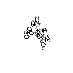 CC(C)C[C@H](NC(=O)c1cc2cc(F)ccc2[nH]1)C(=O)NC(C[C@@H]1CCNC1=O)C(=O)COP(=O)(c1ccccc1)c1ccccc1